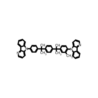 Cc1cc(C(C)(C)c2ccc(C(C)(C)c3ccc(-n4c5ccccc5c5ncccc54)cc3)cc2)ccc1-n1c2ccccc2c2ncccc21